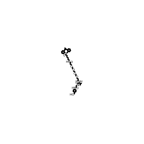 CC(C)[C@H](NC(=O)CCOCCOCCOCCOCCC(=O)NCCCCCC(=O)N1Cc2ccccc2C2=C(C2)c2ccccc21)C(=O)NCC(=O)Nc1ccc(CO)cc1